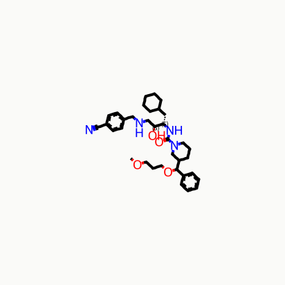 COCCCOC(c1ccccc1)C1CCCN(C(=O)N[C@@H](CC2CCCCC2)[C@@H](O)CNCc2ccc(C#N)cc2)C1